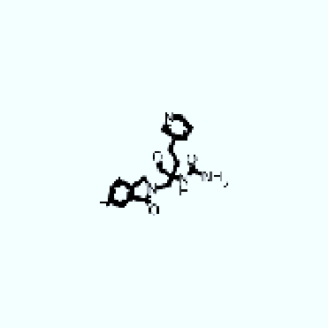 NC(=O)NC(C=O)(CCc1cccnc1)CN1Cc2ccc(F)cc2C1=O